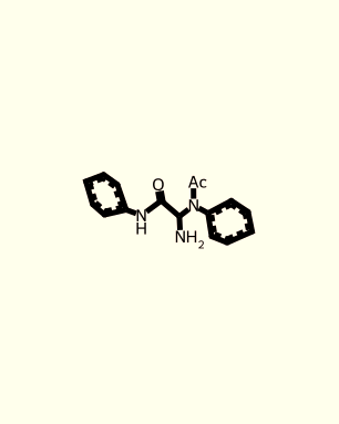 CC(=O)N(c1ccccc1)C(N)C(=O)Nc1ccccc1